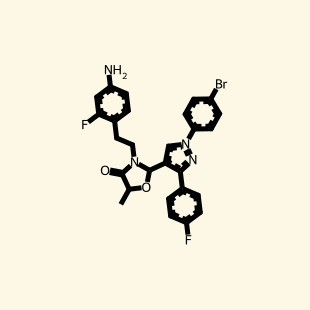 CC1OC(c2cn(-c3ccc(Br)cc3)nc2-c2ccc(F)cc2)N(CCc2ccc(N)cc2F)C1=O